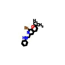 CC1(C)C=Cc2cc(CNc3ccccc3)nc(Br)c2O1